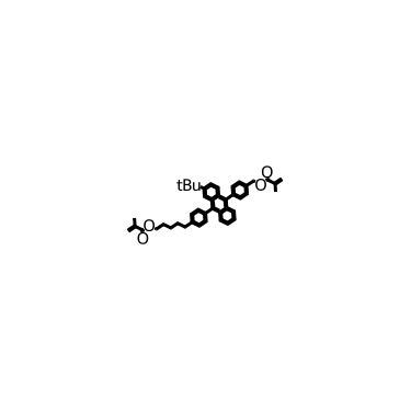 C=C(C)C(=O)OCCCCCc1ccc(-c2c3ccccc3c(-c3ccc(COC(=O)C(=C)C)cc3)c3ccc(C(C)(C)C)cc23)cc1